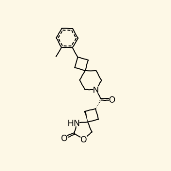 Cc1ccccc1C1CC2(CCN(C(=O)[C@H]3C[C@]4(COC(=O)N4)C3)CC2)C1